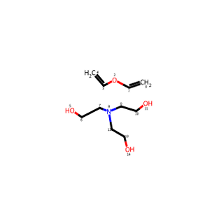 C=COC=C.OCCN(CCO)CCO